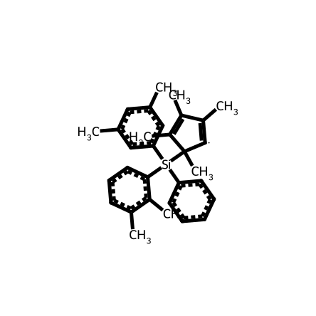 CC1=[C]C(C)([Si](c2ccccc2)(c2cc(C)cc(C)c2)c2cccc(C)c2C)C(C)=C1C